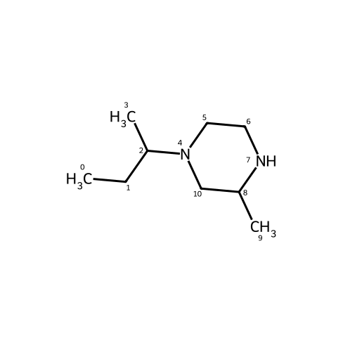 CCC(C)N1CCNC(C)C1